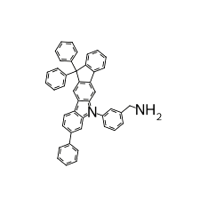 NCc1cccc(-n2c3cc(-c4ccccc4)ccc3c3cc4c(cc32)-c2ccccc2C4(c2ccccc2)c2ccccc2)c1